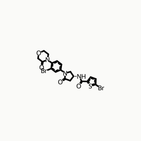 O=C(N[C@@H]1CC(=O)N(c2ccc(N3CCOCC3=O)c(Br)c2)C1)c1ccc(Br)s1